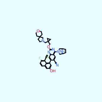 C#Cc1c(F)ccc2cc(O)cc(-c3c(C#N)cc4c(N5CC6CCC(C5)N6)nc(OCC5(CN6CCC7(CCOCC7)C6)CC5)nc4c3F)c12